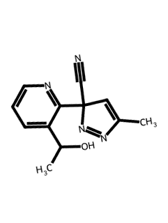 CC1=CC(C#N)(c2ncccc2C(C)O)N=N1